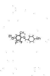 CCCC1CCC(COc2c(C)cc(OCC)c(F)c2F)CC1